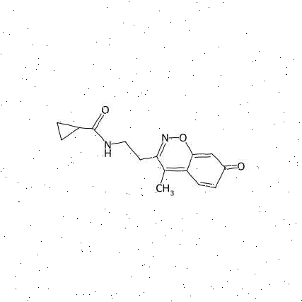 Cc1c2ccc(=O)cc-2onc1CCNC(=O)C1CC1